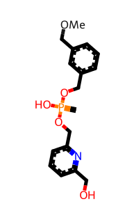 C=P(O)(OCc1cccc(COC)c1)OCc1cccc(CO)n1